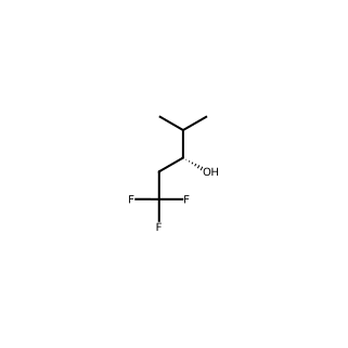 CC(C)[C@H](O)CC(F)(F)F